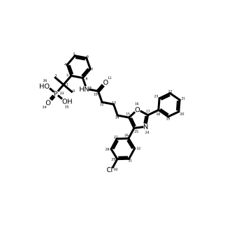 CC(C)(c1ccccc1NC(=O)CCCc1oc(-c2ccccc2)nc1-c1ccc(Cl)cc1)P(=O)(O)O